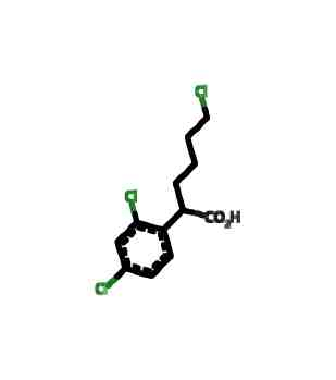 O=C(O)C(CCCCCl)c1ccc(Cl)cc1Cl